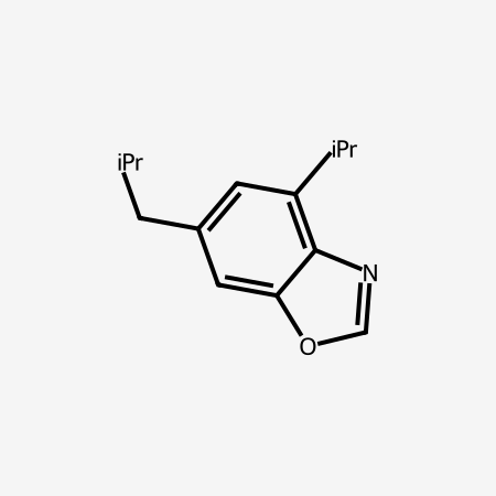 CC(C)Cc1cc(C(C)C)c2ncoc2c1